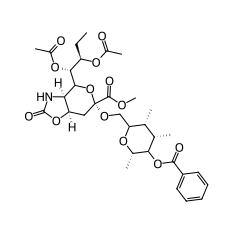 CC[C@@H](OC(C)=O)[C@@H](OC(C)=O)C1O[C@@](OCC2O[C@@H](C)C(OC(=O)c3ccccc3)[C@@H](C)[C@H]2C)(C(=O)OC)C[C@H]2OC(=O)N[C@@H]12